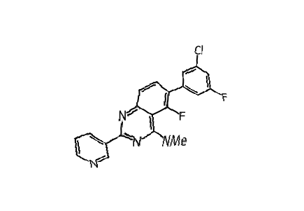 CNc1nc(-c2cccnc2)nc2ccc(-c3cc(F)cc(Cl)c3)c(F)c12